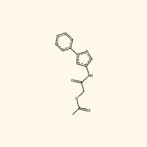 CC(=O)OCC(=O)Nc1cnn(-c2ccccc2)c1